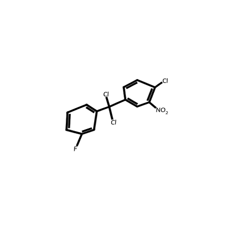 O=[N+]([O-])c1cc(C(Cl)(Cl)c2cccc(F)c2)ccc1Cl